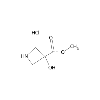 COC(=O)C1(O)CNC1.Cl